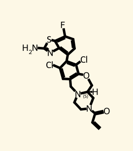 C=CC(=O)N1CCN2Cc3cc(Cl)c(-c4ccc(F)c5sc(N)nc45)c(Cl)c3OC[C@@H]2C1